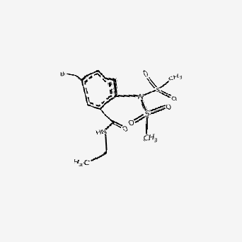 CCNC(=O)c1cc(Br)ccc1N(S(C)(=O)=O)S(C)(=O)=O